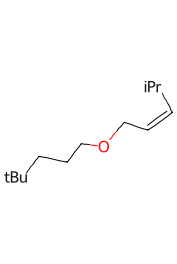 CC(C)/C=C\COCCCC(C)(C)C